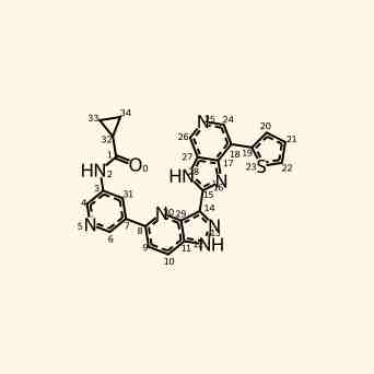 O=C(Nc1cncc(-c2ccc3[nH]nc(-c4nc5c(-c6cccs6)cncc5[nH]4)c3n2)c1)C1CC1